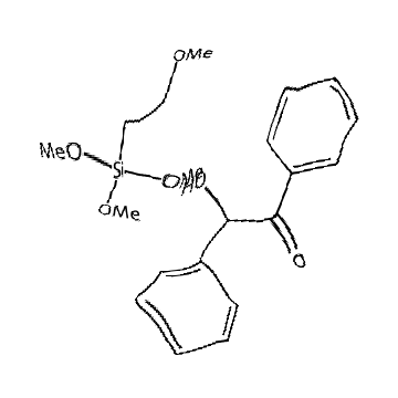 COCC[Si](OC)(OC)OC.O=C(c1ccccc1)C(O)c1ccccc1